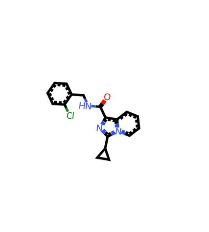 O=C(NCc1ccccc1Cl)c1nc(C2CC2)n2ccccc12